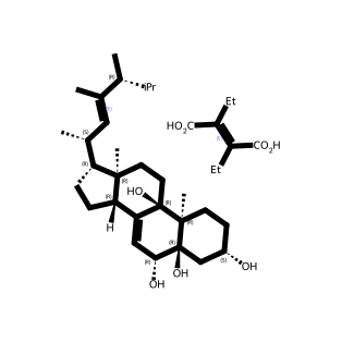 C/C(=C\[C@@H](C)[C@H]1CC[C@H]2C3=C[C@@H](O)[C@@]4(O)C[C@@H](O)CC[C@]4(C)[C@@]3(O)CC[C@]12C)[C@H](C)C(C)C.CC/C(C(=O)O)=C(/CC)C(=O)O